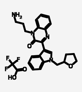 NCCCn1c(=O)c(-c2cn(CC3CCCO3)c3ccccc23)nc2ccccc21.O=C(O)C(F)(F)F